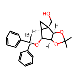 CC1(C)O[C@H]2[C@@H](O[Si](c3ccccc3)(c3ccccc3)C(C)(C)C)[C@H]3C[C@]3(CO)[C@H]2O1